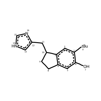 CC(C)(C)c1cc2c(cc1O)CCC2Cc1c[nH]cn1